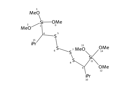 CO[Si](OC)(OC)C(SSSSC(C(C)C)[Si](OC)(OC)OC)C(C)C